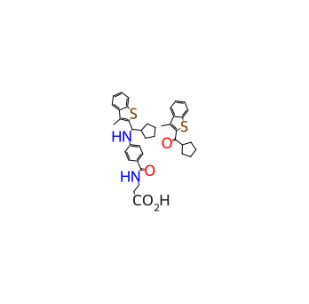 Cc1c(C(=O)C2CCCC2)sc2ccccc12.Cc1c(C(Nc2ccc(C(=O)NCCC(=O)O)cc2)C2CCCC2)sc2ccccc12